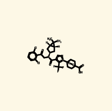 CC1(C)[C@@H]2C[C@@H](N(CC(=O)c3c(Cl)cccc3Cl)C(=O)c3cnn(C45CCC(C(=O)O)(CC4)CC5)c3C(F)(F)F)C[C@@H]21